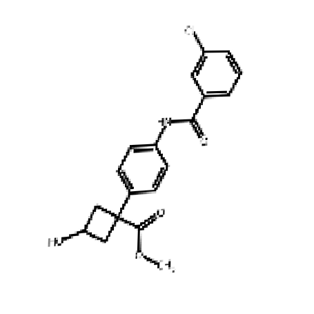 COC(=O)C1(c2ccc(NC(=O)c3cccc(Cl)c3)cc2)CC(O)C1